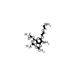 CC(=O)OC[C@H]1O[C@@H](OCCOCCN)[C@H](N)[C@@H](OC(C)=O)[C@H]1OC(C)=O